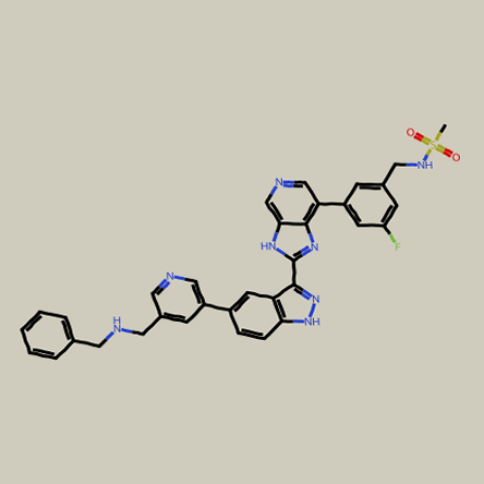 CS(=O)(=O)NCc1cc(F)cc(-c2cncc3[nH]c(-c4n[nH]c5ccc(-c6cncc(CNCc7ccccc7)c6)cc45)nc23)c1